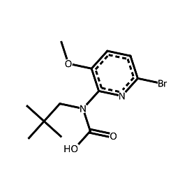 COc1ccc(Br)nc1N(CC(C)(C)C)C(=O)O